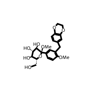 COc1ccc([C@]2(OC)O[C@H](CO)[C@@H](O)[C@H](O)[C@H]2O)cc1Cc1ccc2c(c1)OCCO2